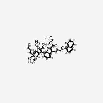 CCOC(=O)c1[nH]c2c(-c3c(CN(C)S(=O)(=O)CCCCl)nn(C)c3C)cccc2c1CCCOc1cccc2ccccc12